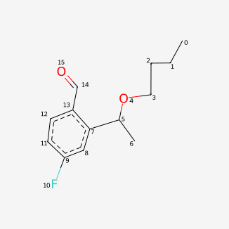 CCCCOC(C)c1cc(F)ccc1C=O